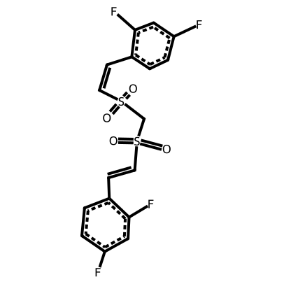 O=S(=O)(C=Cc1ccc(F)cc1F)CS(=O)(=O)/C=C\c1ccc(F)cc1F